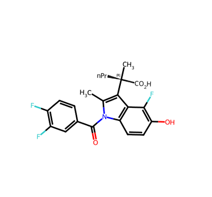 CCC[C@@](C)(C(=O)O)c1c(C)n(C(=O)c2ccc(F)c(F)c2)c2ccc(O)c(F)c12